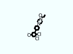 C=CC(=O)N1CCN(c2ccc(-c3cc(OC)cc(Cl)c3Cl)cc2)CC1